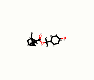 CC(C)(OC(=O)C1=CC2CC1(C)C2(C)C)C1CCC(O)CC1